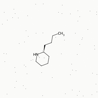 CCCC[C@H]1CCCCN1